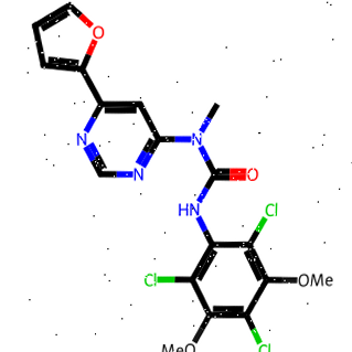 COc1c(Cl)c(NC(=O)N(C)c2cc(-c3ccco3)ncn2)c(Cl)c(OC)c1Cl